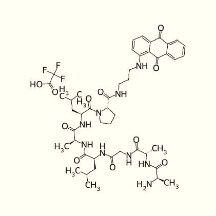 CC(C)C[C@H](NC(=O)CNC(=O)[C@H](C)NC(=O)[C@@H](C)N)C(=O)N[C@@H](C)C(=O)N[C@@H](CC(C)C)C(=O)N1CCC[C@H]1C(=O)NCCCNc1cccc2c1C(=O)c1ccccc1C2=O.O=C(O)C(F)(F)F